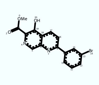 COC(=O)c1ncc2nc(-c3cccc(Br)c3)ccc2c1O